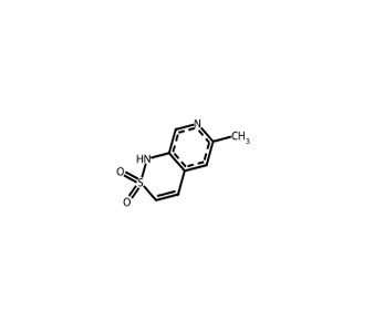 Cc1cc2c(cn1)NS(=O)(=O)C=C2